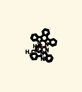 CCC(/N=C(\N=C(/N)c1ccccc1)C1=CC=CCC1)N1C2C=CCCC2C2c3ccccc3C3c4ccccc4N(C4=CC(C)CCC4)C3C21